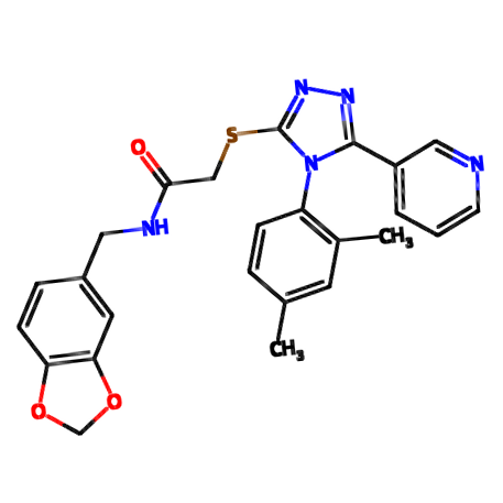 Cc1ccc(-n2c(SCC(=O)NCc3ccc4c(c3)OCO4)nnc2-c2cccnc2)c(C)c1